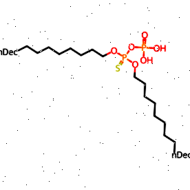 CCCCCCCCCCCCCCCCCCOP(=S)(OCCCCCCCCCCCCCCCCCC)OP(=O)(O)O